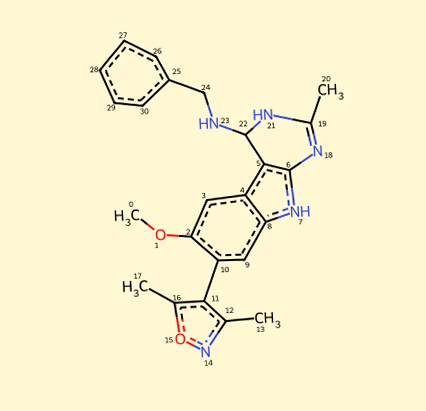 COc1cc2c3c([nH]c2cc1-c1c(C)noc1C)N=C(C)NC3NCc1ccccc1